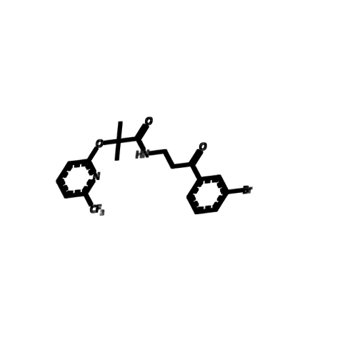 CC(C)(Oc1cccc(C(F)(F)F)n1)C(=O)NCCC(=O)c1cccc(Br)c1